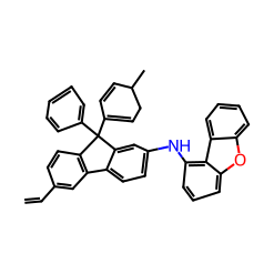 C=Cc1ccc2c(c1)-c1ccc(Nc3cccc4oc5ccccc5c34)cc1C2(C1=CCC(C)C=C1)c1ccccc1